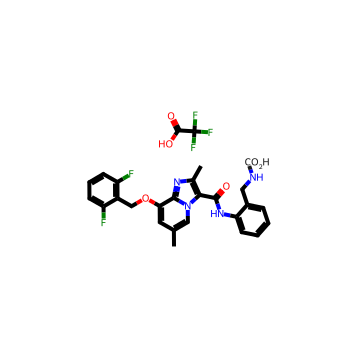 Cc1cc(OCc2c(F)cccc2F)c2nc(C)c(C(=O)Nc3ccccc3CNC(=O)O)n2c1.O=C(O)C(F)(F)F